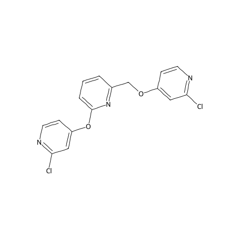 Clc1cc(OCc2cccc(Oc3ccnc(Cl)c3)n2)ccn1